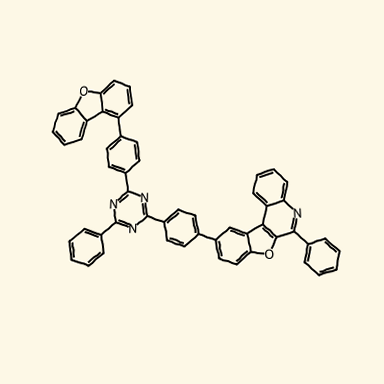 c1ccc(-c2nc(-c3ccc(-c4ccc5oc6c(-c7ccccc7)nc7ccccc7c6c5c4)cc3)nc(-c3ccc(-c4cccc5oc6ccccc6c45)cc3)n2)cc1